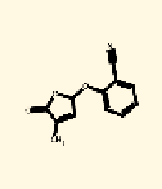 CC1=CC(Oc2ccccc2C#N)OC1=O